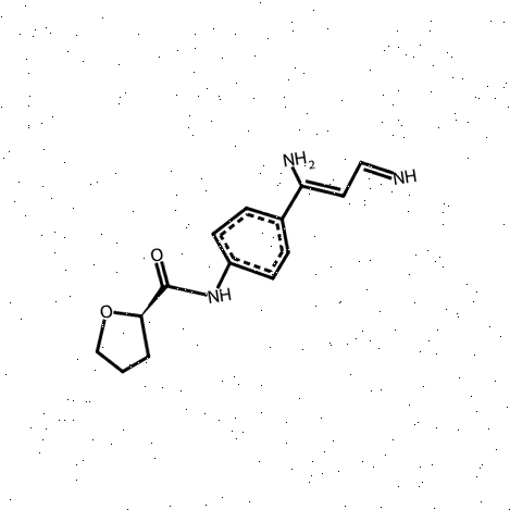 N=C/C=C(\N)c1ccc(NC(=O)[C@H]2CCCO2)cc1